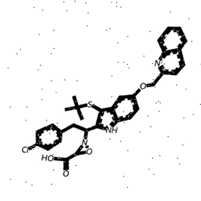 CC(C)(C)Sc1c(C(Cc2ccc(Cl)cc2)N2OC2C(=O)O)[nH]c2ccc(OCc3ccc4ccccc4n3)cc12